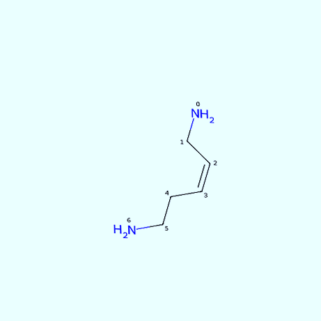 NC/C=C\CCN